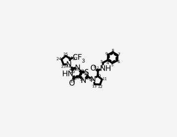 O=C(NCc1ccccc1)C1CCCN1c1nc2c(=O)[nH]c(N3CCCC3C(F)(F)F)nc2s1